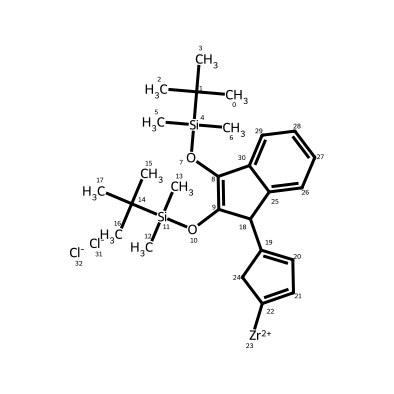 CC(C)(C)[Si](C)(C)OC1=C(O[Si](C)(C)C(C)(C)C)C(C2=CC=[C]([Zr+2])C2)c2ccccc21.[Cl-].[Cl-]